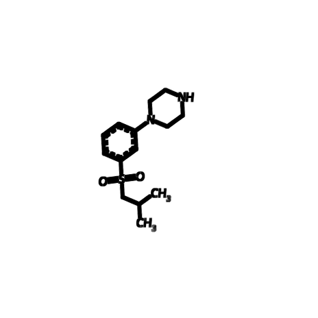 CC(C)CS(=O)(=O)c1cccc(N2CCNCC2)c1